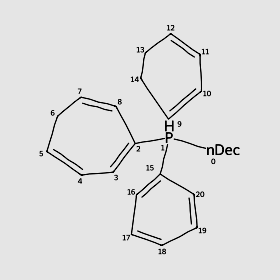 CCCCCCCCCC[PH](C1=CC=CCC=C1)(C1=CC=CCC1)c1ccccc1